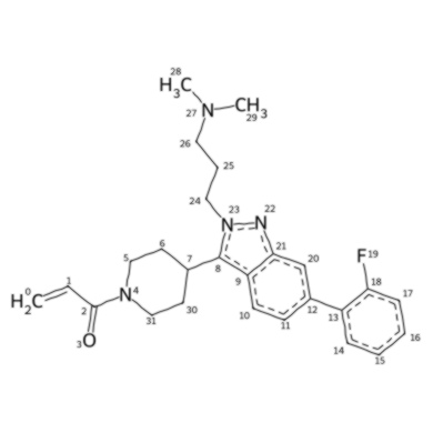 C=CC(=O)N1CCC(c2c3ccc(-c4ccccc4F)cc3nn2CCCN(C)C)CC1